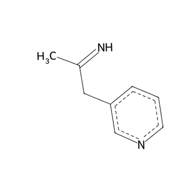 CC(=N)Cc1cccnc1